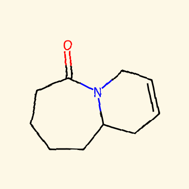 O=C1CCCCC2CC=CCN12